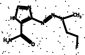 CN(CCF)/N=N/c1nc[nH]c1C(N)=O